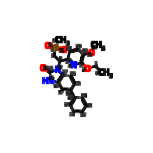 CCOc1nc(C(CS(C)(=O)=O)n2c(=O)[nH]c3cc(-c4ccccc4)ccc32)ccc1OC